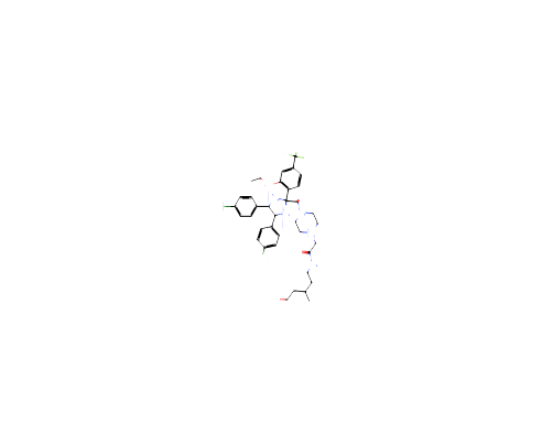 CCOc1cc(C(F)(F)F)ccc1C1(C(=O)N2CCN(CC(=O)NCCC(C)CCO)CC2)NC(c2ccc(Cl)cc2)C(c2ccc(Cl)cc2)N1